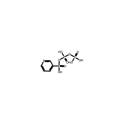 O=P(O)(O)OP(=O)(O)OP(=O)(O)c1cccnc1